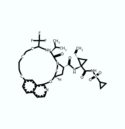 C=C[C@@H]1C[C@]1(NC(=O)[C@@H]1C[C@@H]2CN1C(=O)[C@H](C(C)C)NC(C(F)(F)F)CCCCCCc1ccc3ccnc(c3c1)O2)C(=O)NS(=O)(=O)C1CC1